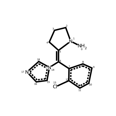 NN1CCCC1=C(c1ccccc1Cl)n1ccnc1